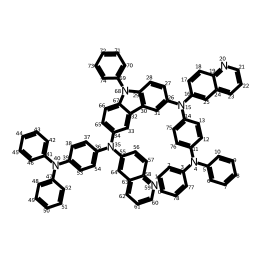 c1ccc(N(c2ccccc2)c2ccc(N(c3ccc4ncccc4c3)c3ccc4c(c3)c3cc(N(c5ccc(N(c6ccccc6)c6ccccc6)cc5)c5ccc6ncccc6c5)ccc3n4-c3ccccc3)cc2)cc1